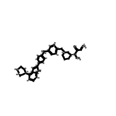 C=CC(=O)N(C)[C@@H]1CCCN(Cc2ncc(Nc3ccc(-c4cc5c(N6CCOCC6)ncnc5[nH]4)cc3)cn2)C1